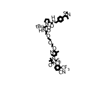 Cc1cc(N2C(=S)N(c3ccc(C#N)c(C(F)(F)F)c3F)C(=O)C2(C)C)cnc1OCCOCCOCC(=O)N[C@H](C(=O)N1CCC[C@H]1C(=O)NCc1ccc(-c2scnc2C)cc1)C(C)(C)C